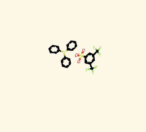 O=S(=O)([O-])c1cc(C(F)(F)F)cc(C(F)(F)F)c1.c1ccc([S+](c2ccccc2)c2ccccc2)cc1